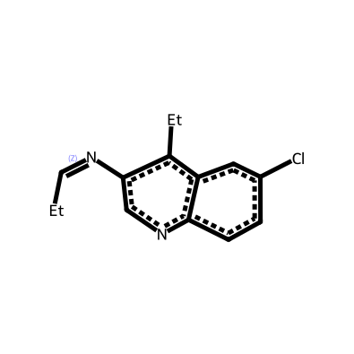 CC/C=N\c1cnc2ccc(Cl)cc2c1CC